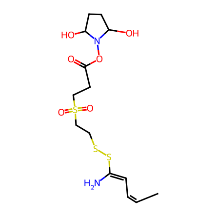 C/C=C\C=C(/N)SSCCS(=O)(=O)CCC(=O)ON1C(O)CCC1O